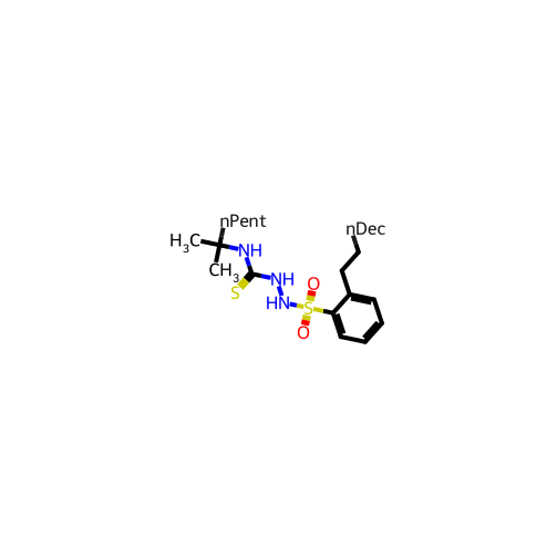 CCCCCCCCCCCCc1ccccc1S(=O)(=O)NNC(=S)NC(C)(C)CCCCC